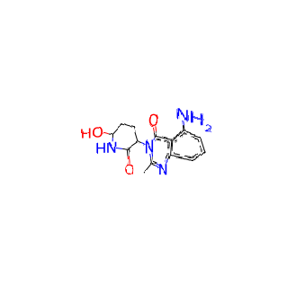 Cc1nc2cccc(N)c2c(=O)n1C1CCC(O)NC1=O